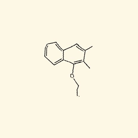 [CH2]COc1c(C)c(C)cc2ccccc12